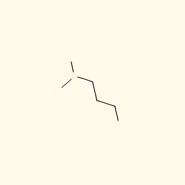 CCCCB(Cl)Cl